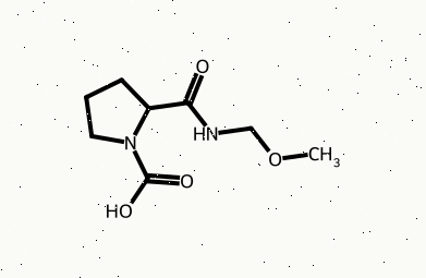 COCNC(=O)C1CCCN1C(=O)O